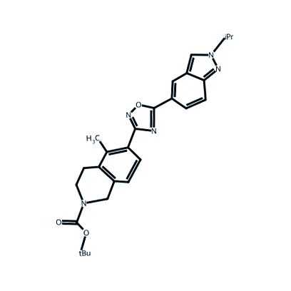 Cc1c(-c2noc(-c3ccc4nn(C(C)C)cc4c3)n2)ccc2c1CCN(C(=O)OC(C)(C)C)C2